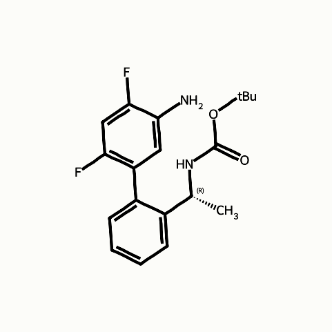 C[C@@H](NC(=O)OC(C)(C)C)c1ccccc1-c1cc(N)c(F)cc1F